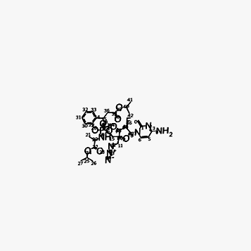 C=C1N=C(N)C=CN1[C@@H]1O[C@](CN=[N+]=[N-])(COP(=O)(NC(C)C(=O)OC(C)C)Oc2ccccc2CCC(=O)OC(C)C)[C@@H](O)[C@H]1F